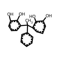 CC(c1ccccc1)(c1cccc(O)c1O)c1cccc(O)c1O